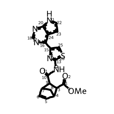 COC(=O)C1C2C=CC(C2)C1C(=O)Nc1nc(-c2ncnc3[nH]ccc23)cs1